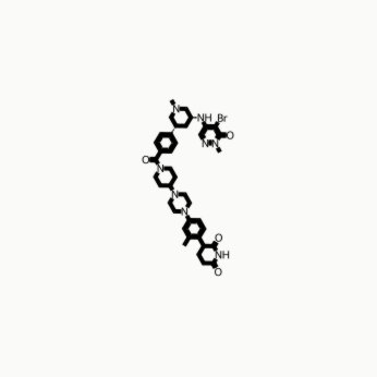 Cc1cc(N2CCN(C3CCN(C(=O)c4ccc([C@H]5C[C@@H](Nc6cnn(C)c(=O)c6Br)CN(C)C5)cc4)CC3)CC2)ccc1C1CCC(=O)NC1=O